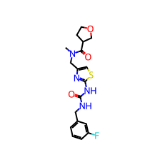 CN(Cc1csc(NC(=O)NCc2cccc(F)c2)n1)C(=O)C1CCOC1